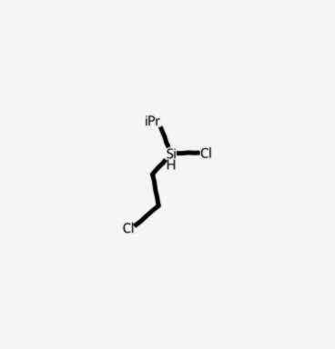 CC(C)[SiH](Cl)CCCl